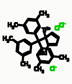 Cc1cc(C)cc(C(c2cc(C)cc(C)c2)(c2cc(C)cc(C)c2)[C]2([Ti+3])C=CC=C2C(C)(C)C)c1.[Cl-].[Cl-].[Cl-]